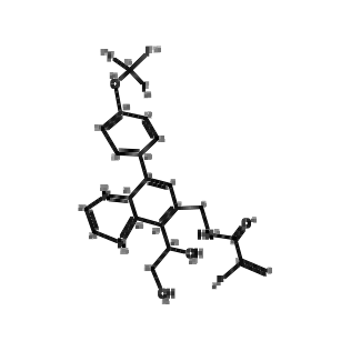 C=C(F)C(=O)NCc1cc(-c2ccc(OC(F)(F)F)cc2)c2nccnc2c1C(O)CO